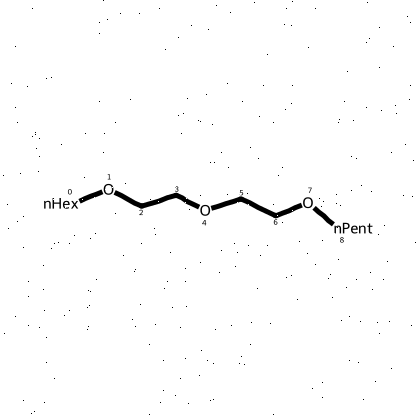 CCCCCCOCCOCCOCCCCC